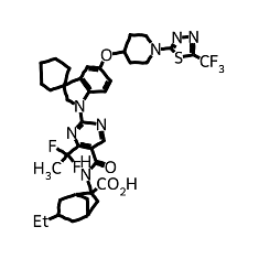 CCC1CC2CC(C1)C(NC(=O)c1cnc(N3CC4(CCCCC4)c4cc(OC5CCN(c6nnc(C(F)(F)F)s6)CC5)ccc43)nc1C(C)(F)F)(C(=O)O)C2